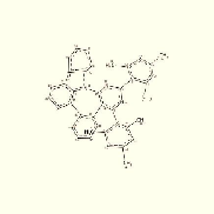 Cc1cc(C)c(-c2nc(-c3c(C)cc(C)cc3C)c3c(n2)-n2c4ccccc4c4cccc(c42)-c2ccccc2-3)c(C)c1